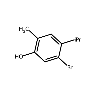 Cc1cc(C(C)C)c(Br)cc1O